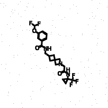 O=C(CN1CC2(CC(CNC(=O)c3cccc(OC(F)F)c3)C2)C1)NC1(C(F)(F)F)CC1